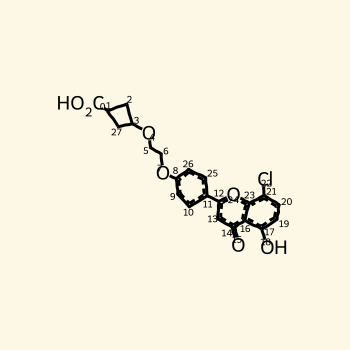 O=C(O)C1CC(OCCOc2ccc(-c3cc(=O)c4c(O)ccc(Cl)c4o3)cc2)C1